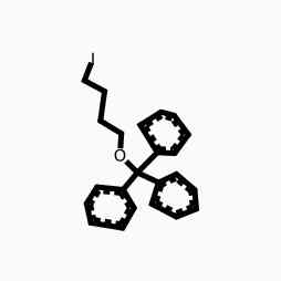 ICCCCOC(c1ccccc1)(c1ccccc1)c1ccccc1